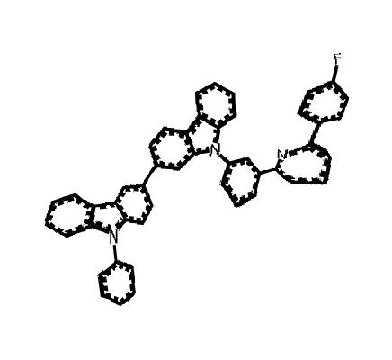 Fc1ccc(-c2cccc(-c3cccc(-n4c5ccccc5c5ccc(-c6ccc7c(c6)c6ccccc6n7-c6ccccc6)cc54)c3)n2)cc1